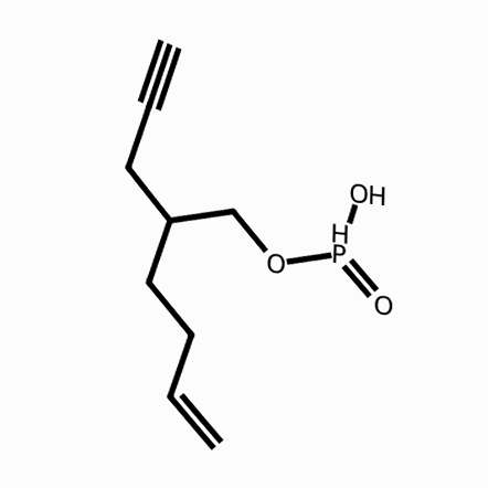 C#CCC(CCC=C)CO[PH](=O)O